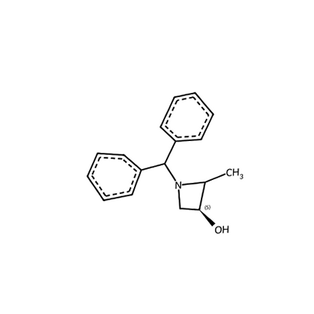 CC1[C@@H](O)CN1C(c1ccccc1)c1ccccc1